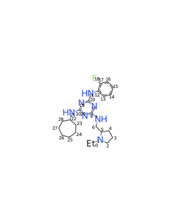 CCN1CCCC1CNc1nc(Nc2ccccc2F)nc(NC2CCCCCC2)n1